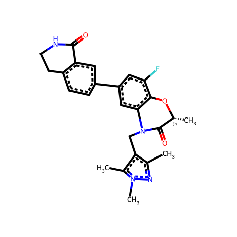 Cc1nn(C)c(C)c1CN1C(=O)[C@@H](C)Oc2c(F)cc(-c3ccc4c(c3)C(=O)NCC4)cc21